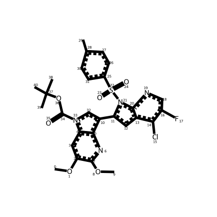 COc1cc2c(nc1OC)c(-c1cc3c(Cl)c(F)cnc3n1S(=O)(=O)c1ccc(C)cc1)cn2C(=O)OC(C)(C)C